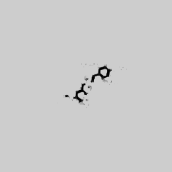 CCOC(=O)CNc1cc(CS(=O)(=O)/C=C/c2c(OC)cc(OC)cc2OC)cnc1OC